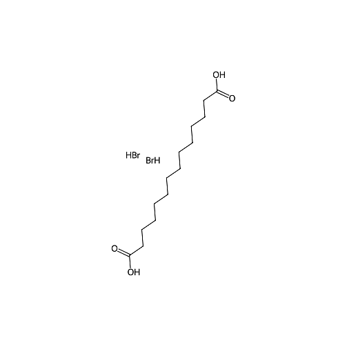 Br.Br.O=C(O)CCCCCCCCCCCCC(=O)O